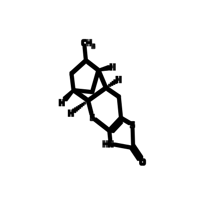 CC1C[C@@H]2C[C@H]1[C@H]1Cc3sc(=O)[nH]c3S[C@@H]21